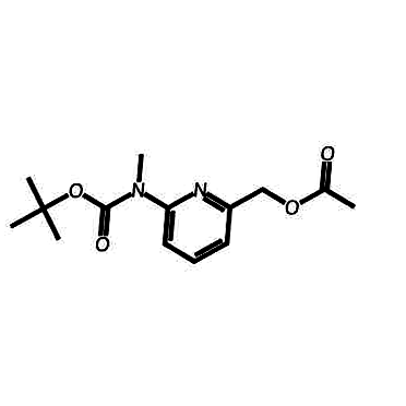 CC(=O)OCc1cccc(N(C)C(=O)OC(C)(C)C)n1